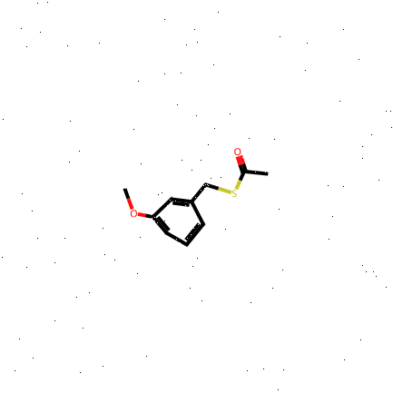 COc1[c]c(CSC(C)=O)ccc1